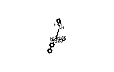 O=C(NC(CCCCCNc1nc2ccccc2[nH]1)(NS(=O)(=O)c1ccc(-c2ccccc2)cc1)C(=O)O)C1=NOCC1